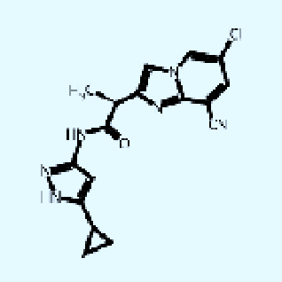 C[C@H](C(=O)Nc1cc(C2CC2)[nH]n1)c1cn2cc(Cl)cc(C#N)c2n1